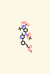 CCOC(=O)C=Cc1cccc(-c2cc(N(C(=O)OC(C)(C)C)c3ccc4c(c3)c(C(C)(C)C)nn4C(=O)O)c(C)cn2)c1